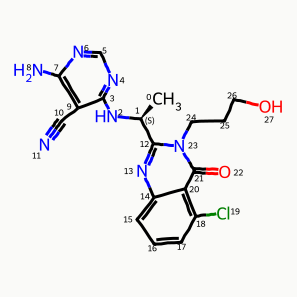 C[C@H](Nc1ncnc(N)c1C#N)c1nc2cccc(Cl)c2c(=O)n1CCCO